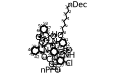 CCCCCCCCCCCCCCCCCCOc1ccc(S(=O)(=O)Nc2cc(Cl)c(S(=O)(=O)CCC)cc2Cl)cc1NC(=O)C(c1nc2ccccc2c(=O)n1-c1ccccc1)N1C(=O)c2ccccc2S1(=O)=O